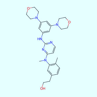 Cc1ccc(CCO)cc1N(C)c1ccnc(Nc2cc(N3CCOCC3)cc(N3CCOCC3)c2)n1